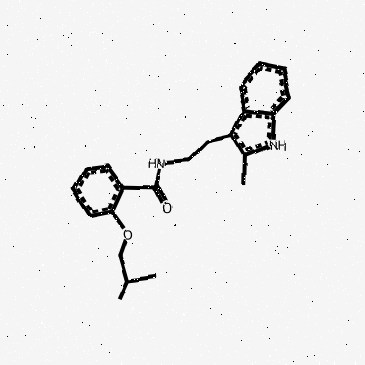 Cc1[nH]c2ccccc2c1CCNC(=O)c1ccccc1OCC(C)C